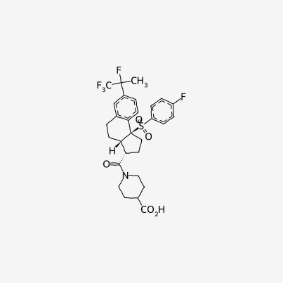 CC(F)(c1ccc2c(c1)CC[C@H]1[C@@H](C(=O)N3CCC(C(=O)O)CC3)CC[C@@]21S(=O)(=O)c1ccc(F)cc1)C(F)(F)F